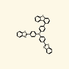 c1ccc2sc(-c3ccc(N(c4ccc(-c5nc6ccccc6s5)cc4)c4ccc(-c5cccc6sc7ccccc7c56)cc4)cc3)nc2c1